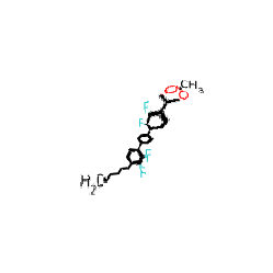 C=CCCCCc1ccc(-c2ccc(-c3ccc(C4COC(C)OC4)c(F)c3F)cc2)c(F)c1F